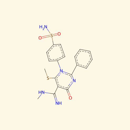 CNC(=N)c1c(SC)n(-c2ccc(S(N)(=O)=O)cc2)c(-c2ccccc2)nc1=O